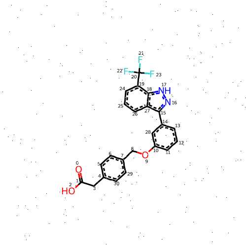 O=C(O)Cc1ccc(COc2cccc(-c3n[nH]c4c(C(F)(F)F)cccc34)c2)cc1